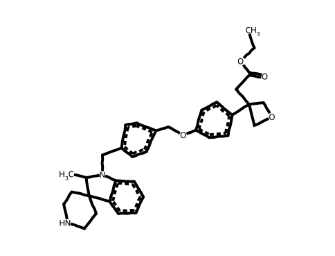 CCOC(=O)CC1(c2ccc(OCc3ccc(CN4c5ccccc5C5(CCNCC5)C4C)cc3)cc2)COC1